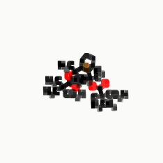 CC(C)(C(=O)O)C(=O)OC(C)(C)C1C2C=CC(S2)C1C(C)(C)OC(=O)C(C)(C)C(=O)O